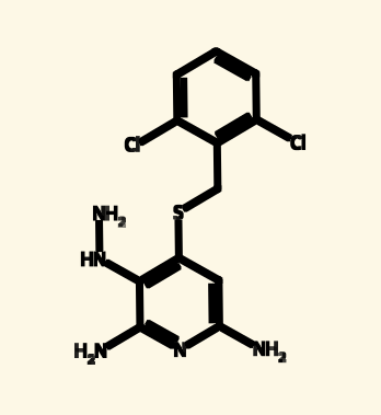 NNc1c(SCc2c(Cl)cccc2Cl)cc(N)nc1N